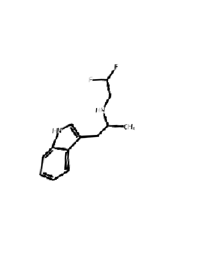 CC(Cc1c[nH]c2ccccc12)NCC(F)F